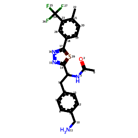 CC(=O)NC(Cc1ccc(CN)cc1)c1nnc(-c2ccc(C)c(C(F)(F)F)c2)s1